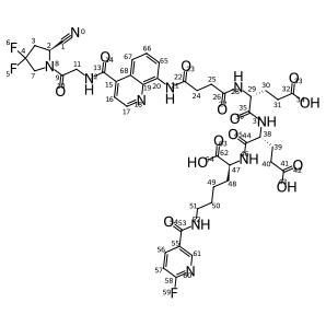 N#C[C@@H]1CC(F)(F)CN1C(=O)CNC(=O)c1ccnc2c(NC(=O)CCC(=O)N[C@H](CCC(=O)O)C(=O)N[C@H](CCC(=O)O)C(=O)N[C@@H](CCCCNC(=O)c3ccc(F)nc3)C(=O)O)cccc12